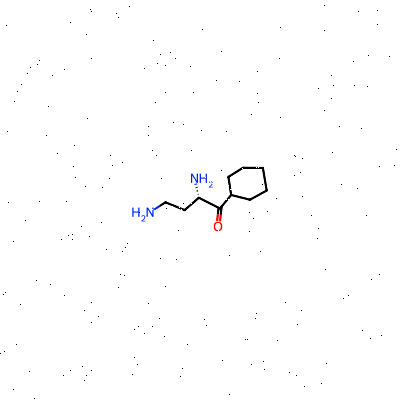 NCC[C@H](N)C(=O)C1CCCCC1